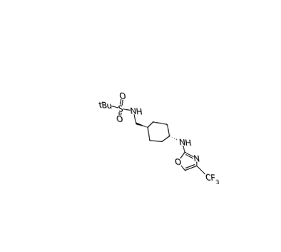 CC(C)(C)S(=O)(=O)NC[C@H]1CC[C@H](Nc2nc(C(F)(F)F)co2)CC1